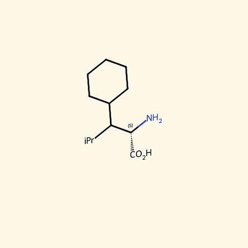 CC(C)C(C1CCCCC1)[C@H](N)C(=O)O